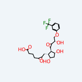 O=C(O)CCCC1OC1C[C@@H]1[C@@H]([C@H]2OC2[C@@H](O)COc2cccc(C(F)(F)F)c2)[C@H](O)C[C@@H]1O